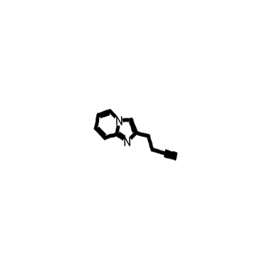 C#CCCc1cn2ccccc2n1